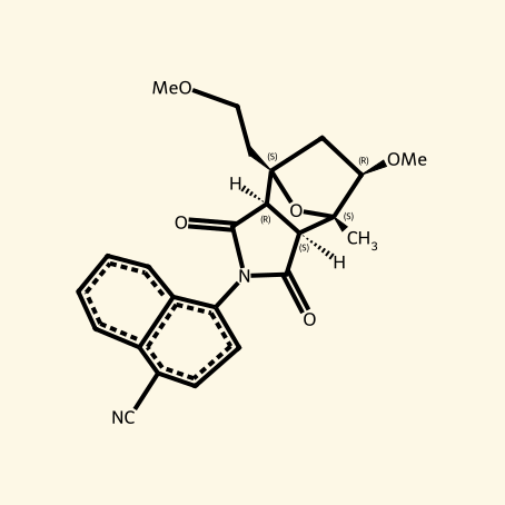 COCC[C@@]12C[C@@H](OC)[C@@](C)(O1)[C@H]1C(=O)N(c3ccc(C#N)c4ccccc34)C(=O)[C@H]12